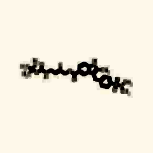 Cc1[nH]c2ccc(C(=O)OCC(F)=CCNC(=O)OC(C)(C)C)cc2c1Cc1ccc(S(=O)(=O)N(C)C)cc1